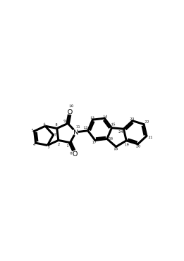 O=C1C2C3C=CC(C3)C2C(=O)N1c1ccc2c(c1)Cc1ccccc1-2